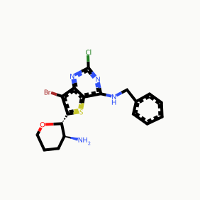 N[C@H]1CCCO[C@@H]1c1sc2c(NCc3ccccc3)nc(Cl)nc2c1Br